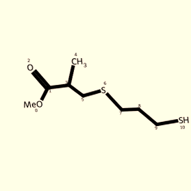 COC(=O)C(C)CSCCCS